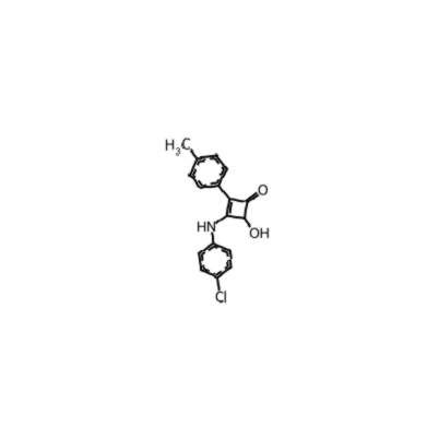 Cc1ccc(C2=C(Nc3ccc(Cl)cc3)C(O)C2=O)cc1